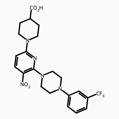 O=C(O)C1CCN(c2ccc([N+](=O)[O-])c(N3CCN(c4cccc(C(F)(F)F)c4)CC3)n2)CC1